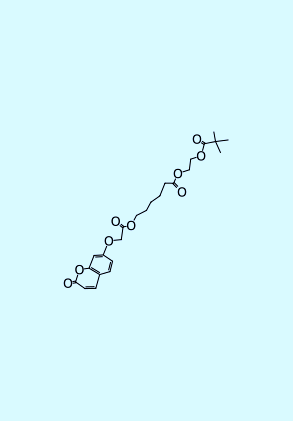 CC(C)(C)C(=O)OCCOC(=O)CCCCCOC(=O)COc1ccc2ccc(=O)oc2c1